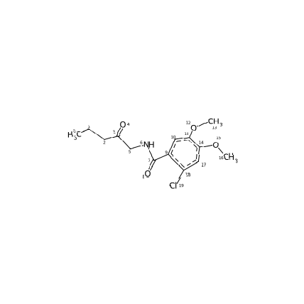 CCCC(=O)CNC(=O)c1cc(OC)c(OC)cc1Cl